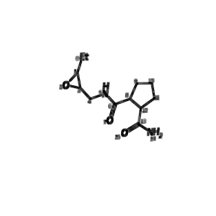 CCC1OC1CNC(=O)C1CCCC1C(N)=O